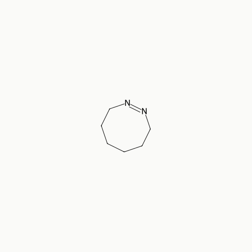 C1CCC/N=N\CC1